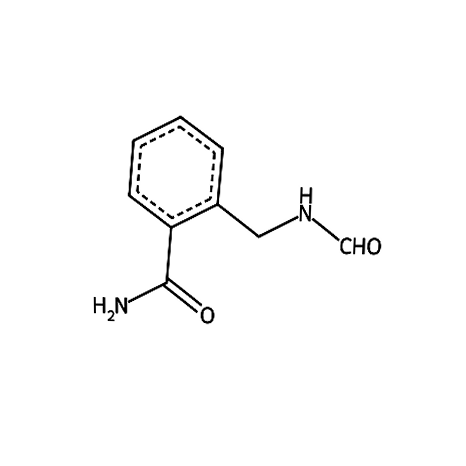 NC(=O)c1ccccc1CNC=O